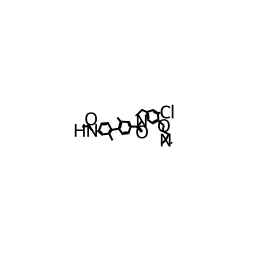 CC(=O)Nc1ccc(-c2ccc(C(=O)N3CCc4cc(Cl)c(OCCN(C)C)cc43)cc2C)c(C)c1